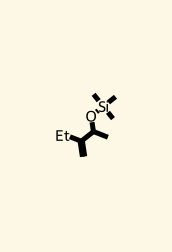 C=C(CC)C(C)O[Si](C)(C)C